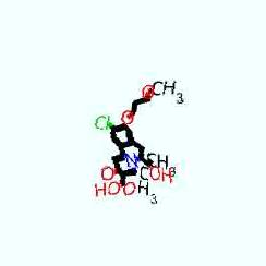 COCCCOc1cc2c(cc1Cl)-c1cc(=O)c(C(=O)O)cn1C(C(C)(C)O)C2